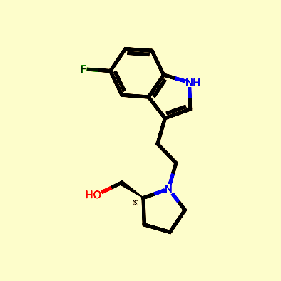 OC[C@@H]1CCCN1CCc1c[nH]c2ccc(F)cc12